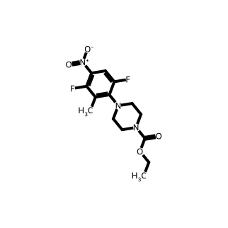 CCOC(=O)N1CCN(c2c(F)cc([N+](=O)[O-])c(F)c2C)CC1